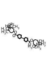 CCCON1C(C)(C)CCC(OC(=O)c2ccc(-c3ccc(C(=O)OC4CCC(C)(C)NC(C)(C)C4)cc3)cc2)CC1(C)C